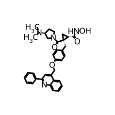 CN(C)[C@H]1CCN(C(=O)[C@@]2(Cc3ccc(OCc4cc(-c5ccccc5)nc5ccccc45)cc3)C[C@@H]2C(=O)NO)C1